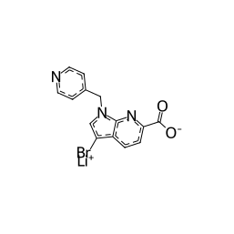 O=C([O-])c1ccc2c(Br)cn(Cc3ccncc3)c2n1.[Li+]